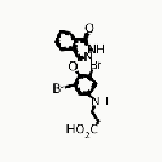 O=C(O)CCNc1cc(Br)c(Oc2n[nH]c(=O)c3ccccc23)c(Br)c1